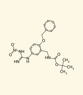 CC(C)(C)OC(=O)NCc1cc(NC(=N)N[N+](=O)[O-])ccc1OCc1ccccc1